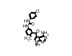 Cc1ccc(NC(=O)Nc2ccc(Cl)cc2)cc1C(=O)c1cn(C(C)C)c2ncnc(N)c12